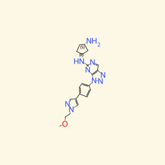 COCCn1cc(-c2ccc(-n3nnc4cnc(N[C@@H]5CC[C@H](N)C5)nc43)cc2)cn1